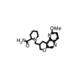 COc1ccc2ncc3c(c2n1)CC(CN1CC[CH]CC1C(N)=O)CO3